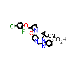 N#CCC1(Cn2c(CN3CCC(Oc4ncccc4COc4ccc(Cl)cc4F)CC3)nc3ccc(C(=O)O)cc32)CC1